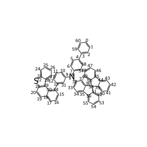 c1ccc(-c2ccc(N(c3cccc(-c4cccc5ccc6sc7ccccc7c6c45)c3)c3ccc4c(c3)C3(c5ccccc5-c5ccccc53)c3ccccc3-4)cc2)cc1